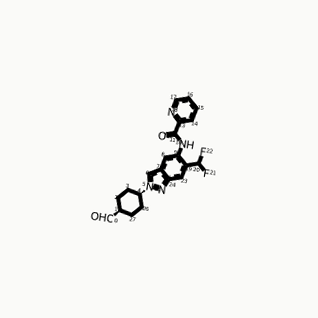 O=C[C@H]1CC[C@H](n2cc3cc(NC(=O)c4ccccn4)c(C(F)F)cc3n2)CC1